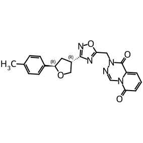 Cc1ccc([C@H]2C[C@H](c3noc(Cn4ncn5c(=O)cccc5c4=O)n3)CO2)cc1